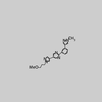 COCCCn1cc(-c2cnc(-c3cccc(-c4cnn(C)c4)c3)nc2)cn1